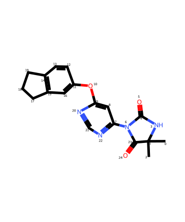 CC1(C)NC(=O)N(c2cc(Oc3ccc4c(c3)CCC4)ncn2)C1=O